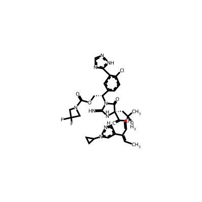 C=C(/C=C\C(=C/C)c1cnn(C2CC2)c1)[C@@]1(CC(C)(C)C)NC(=N)N([C@H](COC(=O)N2CC(F)(F)C2)c2ccc(Cl)c(-c3ncn[nH]3)c2)C1=O